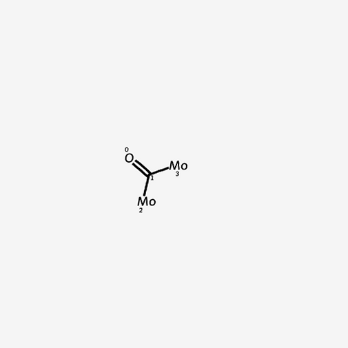 O=[C]([Mo])[Mo]